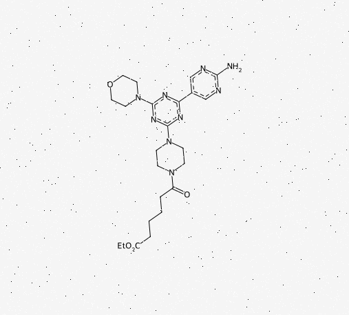 CCOC(=O)CCCCC(=O)N1CCN(c2nc(-c3cnc(N)nc3)nc(N3CCOCC3)n2)CC1